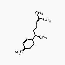 C=C1C=CC(C(C)CCC=C(C)C)CC1